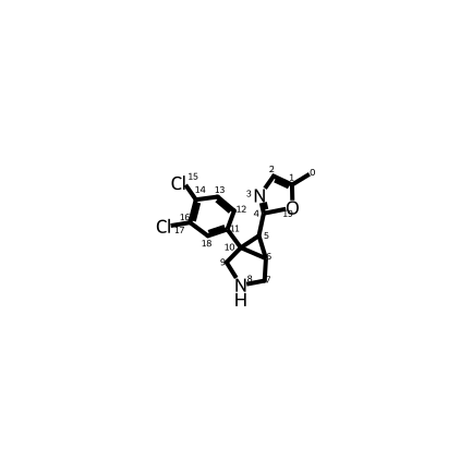 Cc1cnc(C2C3CNCC32c2ccc(Cl)c(Cl)c2)o1